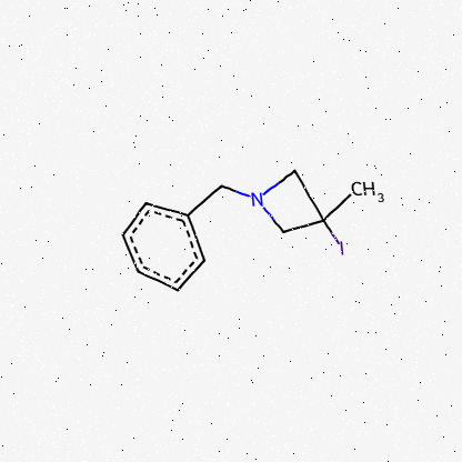 CC1(I)CN(Cc2ccccc2)C1